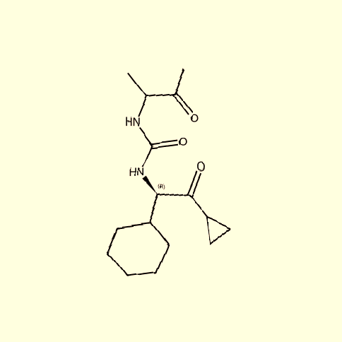 CC(=O)C(C)NC(=O)N[C@@H](C(=O)C1CC1)C1CCCCC1